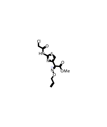 C=CCO/N=C(\C(=O)OC)c1csc(NC(=O)CCl)n1